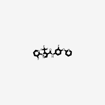 O=C(Nc1ccc(Oc2ccccn2)c(F)c1)c1cnn(-c2ncccc2F)c1C(F)(F)F